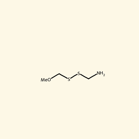 COCSSCN